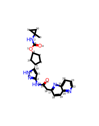 CC1(NC(=O)O[C@@H]2CC[C@H](c3cc(NC(=O)Cc4ccc5ncccc5n4)n[nH]3)C2)CC1